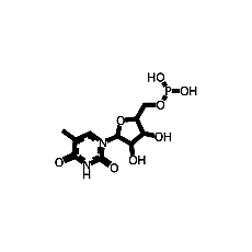 Cc1cn(C2OC(COP(O)O)C(O)C2O)c(=O)[nH]c1=O